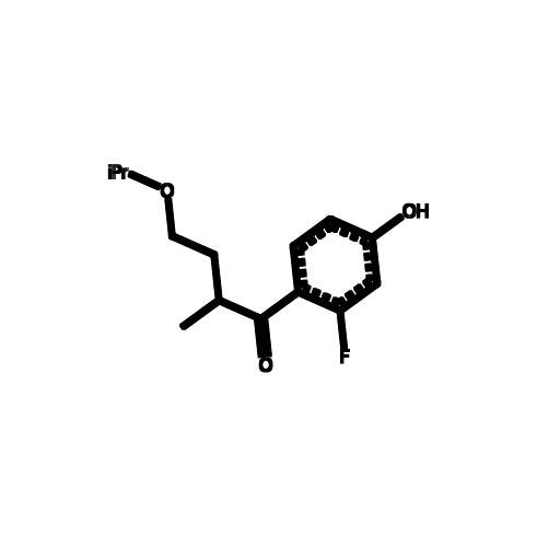 CC(C)OCCC(C)C(=O)c1ccc(O)cc1F